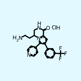 Cl.NCCC1CNC(=O)c2cc(-c3cccc(C(F)(F)F)c3)c(-c3ccncc3)n21